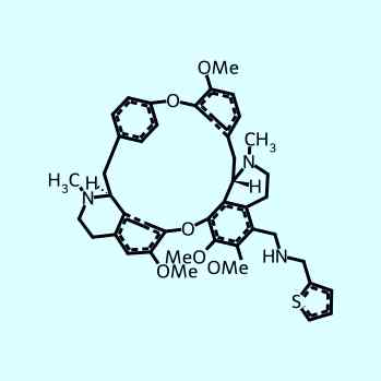 COc1ccc2cc1Oc1ccc(cc1)C[C@H]1c3cc(c(OC)cc3CCN1C)Oc1c(OC)c(OC)c(CNCc3cccs3)c3c1[C@H](C2)N(C)CC3